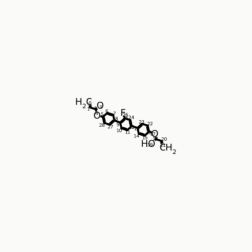 C=CC(=O)Oc1ccc(-c2ccc(-c3ccc(OC(O)C=C)cc3)cc2F)cc1